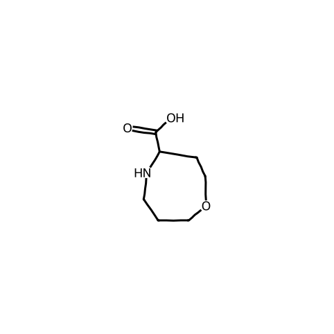 O=C(O)C1CCOCCCN1